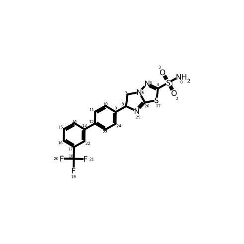 NS(=O)(=O)C1=NN2CC(c3ccc(-c4cccc(C(F)(F)F)c4)cc3)N=C2S1